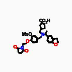 COc1cc(CN(CC2CC[C@@H](C(=O)O)C2)C(C)c2ccc3c(c2)CCO3)ccc1OCCN1C(=O)CCC1=O